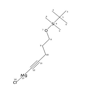 CC(C)(C)[Si](C)(C)OCCCC#[C][Mg][Cl]